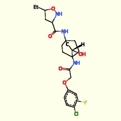 CCC1CC(C(=O)NC23CCC(NC(=O)COc4ccc(Cl)c(F)c4)(CC2)[C@@H](O)C3)NO1